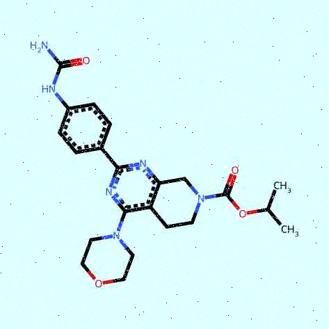 CC(C)OC(=O)N1CCc2c(nc(-c3ccc(NC(N)=O)cc3)nc2N2CCOCC2)C1